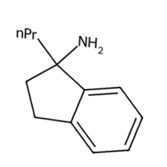 CCCC1(N)CCc2ccccc21